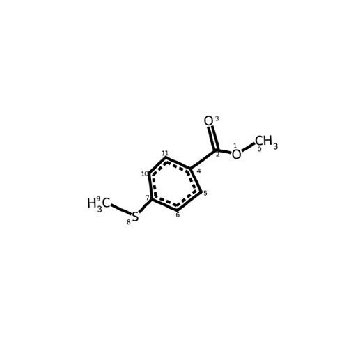 COC(=O)c1ccc(SC)cc1